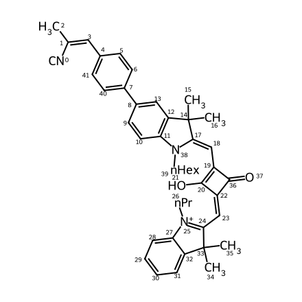 [C-]#[N+]/C(C)=C\c1ccc(-c2ccc3c(c2)C(C)(C)C(=CC2=C(O)C(=CC4=[N+](CCC)c5ccccc5C4(C)C)C2=O)N3CCCCCC)cc1